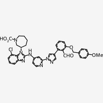 COc1ccc(COc2cccc(-c3cnn(-c4cc(Nc5nc6cccc(Cl)c6n5[C@@H]5CCCCN(C(=O)O)C5)ccn4)c3)c2C=O)cc1